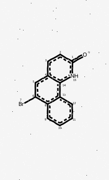 O=c1ccc2cc(Br)c3ccccc3c2[nH]1